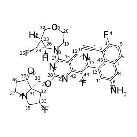 C#Cc1c(F)ccc2cc(N)cc(-c3ncc4c(N5CCOC[C@H]6[C@H](F)[C@H]65)nc(OC[C@]56C[C@@H](F)CN5CCC6=O)nc4c3F)c12